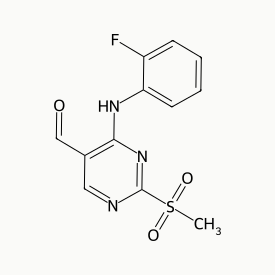 CS(=O)(=O)c1ncc(C=O)c(Nc2ccccc2F)n1